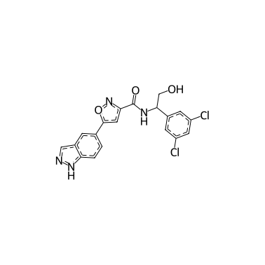 O=C(NC(CO)c1cc(Cl)cc(Cl)c1)c1cc(-c2ccc3[nH]ncc3c2)on1